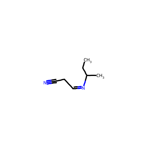 CCC(C)/N=C\CC#N